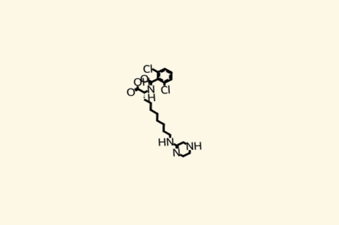 O=C(N[C@H](CCCCCCCCNC1=NCCNC1)C(=O)O)c1c(Cl)cccc1Cl